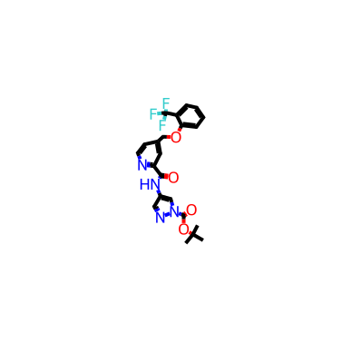 CC(C)(C)OC(=O)n1cc(NC(=O)c2cc(COc3ccccc3C(F)(F)F)ccn2)cn1